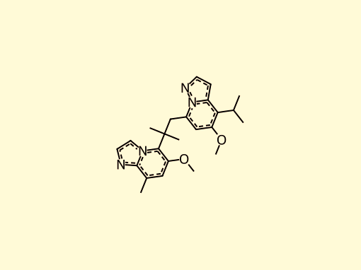 COc1cc(CC(C)(C)c2c(OC)cc(C)c3nccn23)n2nccc2c1C(C)C